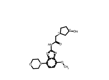 COc1ccc(N2CCOCC2)c2sc(NC(=O)C[C@H]3CC[C@@H](O)C3)nc12